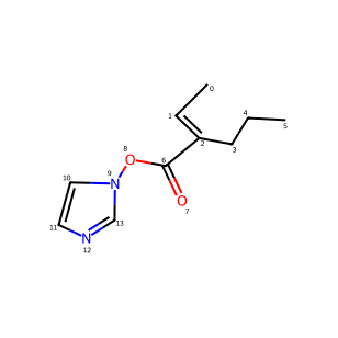 CC=C(CCC)C(=O)On1ccnc1